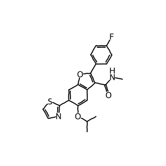 CNC(=O)c1c(-c2ccc(F)cc2)oc2cc(-c3nccs3)c(OC(C)C)cc12